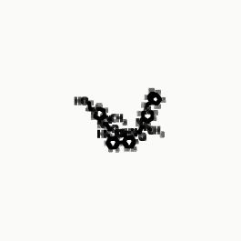 Cn1c(C(=O)Nc2cccc(-c3cccc(NC(=O)c4nc5c(n4C)CCN(CC46CCC(CC4)C6)C5)c3Cl)c2Cl)nc2c1CCN(CCO)C2